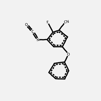 N#Cc1cc(Oc2ccccc2)cc(N=C=O)c1F